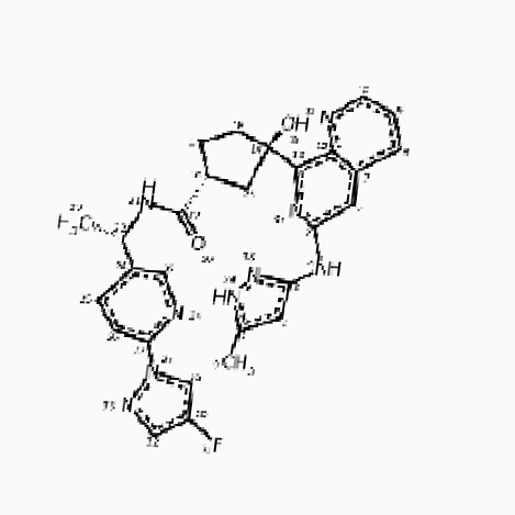 Cc1cc(Nc2cc3cccnc3c([C@@]3(O)CC[C@@H](C(=O)N[C@@H](C)c4ccc(-n5cc(F)cn5)nc4)C3)n2)n[nH]1